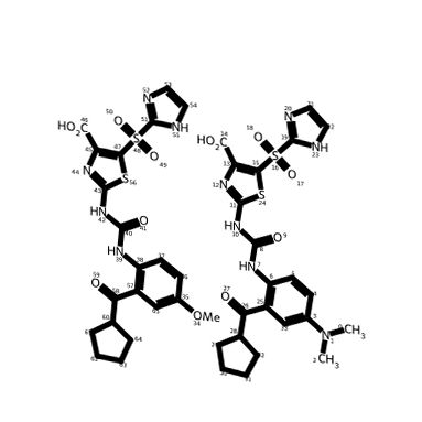 CN(C)c1ccc(NC(=O)Nc2nc(C(=O)O)c(S(=O)(=O)c3ncc[nH]3)s2)c(C(=O)C2CCCC2)c1.COc1ccc(NC(=O)Nc2nc(C(=O)O)c(S(=O)(=O)c3ncc[nH]3)s2)c(C(=O)C2CCCC2)c1